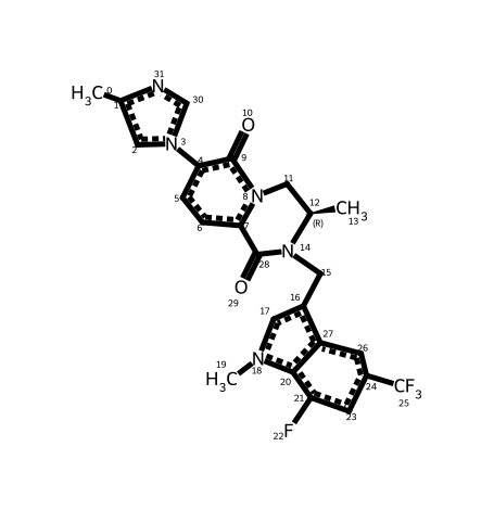 Cc1cn(-c2ccc3n(c2=O)C[C@@H](C)N(Cc2cn(C)c4c(F)cc(C(F)(F)F)cc24)C3=O)cn1